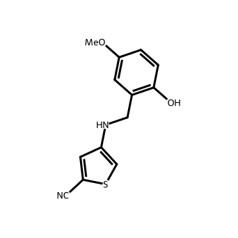 COc1ccc(O)c(CNc2csc(C#N)c2)c1